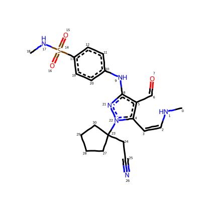 CN/C=C\c1c(C=O)c(Nc2ccc(S(=O)(=O)NC)cc2)nn1C1(CC#N)CCCC1